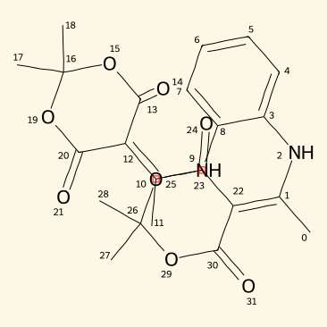 CC(Nc1ccccc1NC(C)=C1C(=O)OC(C)(C)OC1=O)=C1C(=O)OC(C)(C)OC1=O